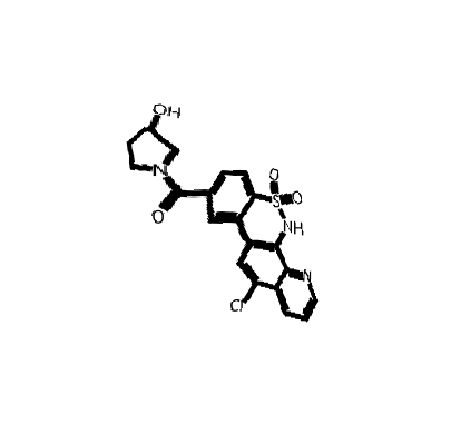 O=C(c1ccc2c(c1)-c1cc(Cl)c3cccnc3c1NS2(=O)=O)N1CCC(O)C1